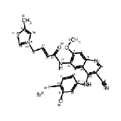 COc1cc2ncc(C#N)c(Nc3ccc(F)c(Cl)c3)c2cc1NC(=O)C=CC[n+]1csc(C)c1.[Br-]